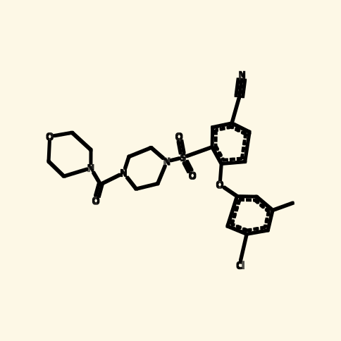 Cc1cc(Cl)cc(Oc2ccc(C#N)cc2S(=O)(=O)N2CCN(C(=O)N3CCOCC3)CC2)c1